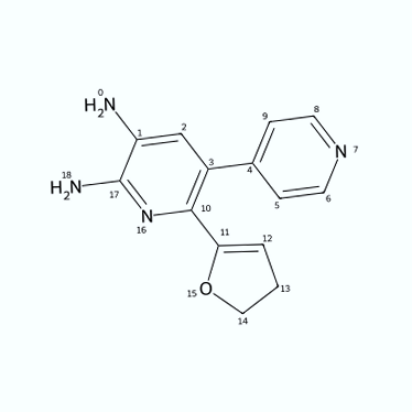 Nc1cc(-c2ccncc2)c(C2=CCCO2)nc1N